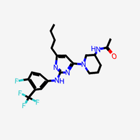 CCCCc1cc(N2CCCC(NC(C)=O)C2)nc(Nc2ccc(F)c(C(F)(F)F)c2)n1